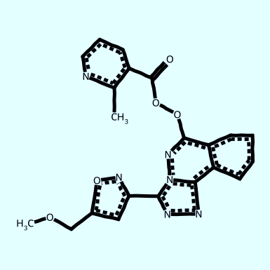 COCc1cc(-c2nnc3c4ccccc4c(OOC(=O)c4cccnc4C)nn23)no1